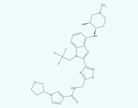 CN1CC[C@@H](Nc2cccc3c2cc(-c2noc(CNC(=O)c4ccn(C5CCOC5)c4)n2)n3CC(F)(F)F)[C@@H](F)C1